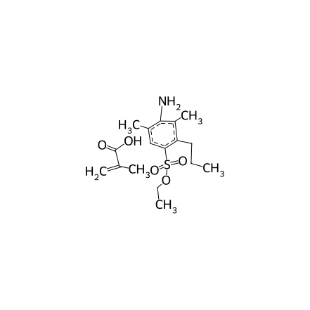 C=C(C)C(=O)O.CCCc1c(S(=O)(=O)OCC)cc(C)c(N)c1C